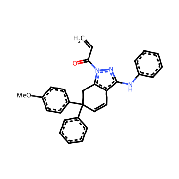 C=CC(=O)n1nc(Nc2ccccc2)c2c1CC(c1ccccc1)(c1ccc(OC)cc1)C=C2